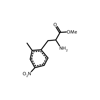 COC(=O)C(N)Cc1ccc([N+](=O)[O-])cc1C